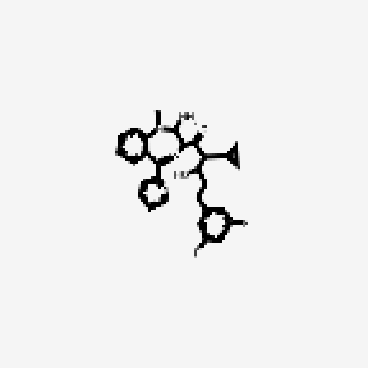 CN1c2ccccc2C(c2ccccn2)=NC(C(=O)C(C(O)CCc2cc(F)cc(F)c2)C2CC2)C1N